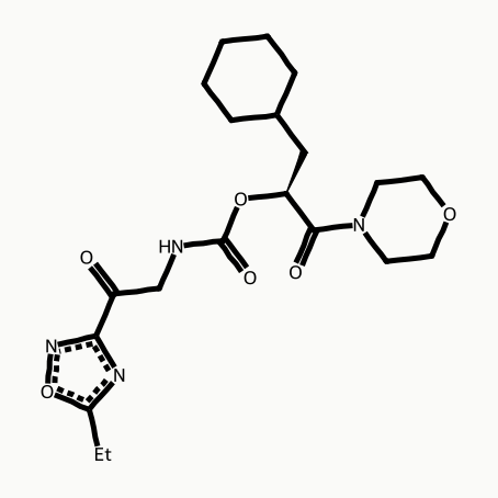 CCc1nc(C(=O)CNC(=O)O[C@@H](CC2CCCCC2)C(=O)N2CCOCC2)no1